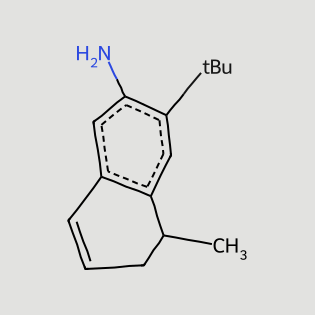 CC1CC=Cc2cc(N)c(C(C)(C)C)cc21